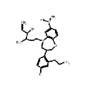 C=CC(O)C(C)CCN1CC(c2ccc(Cl)cc2CCC)COc2ccc([S+](N)[O-])cc21